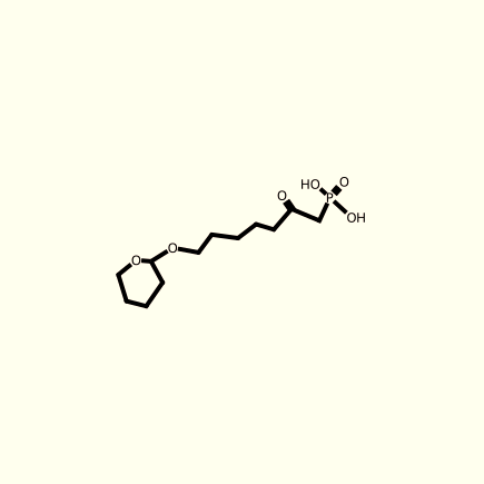 O=C(CCCCCOC1CCCCO1)CP(=O)(O)O